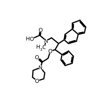 CN(CC(c1ccc2ccccc2c1)C(OCC(=O)N1CCOCC1)c1ccccc1)C(=O)O